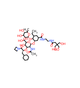 CCC1CC(C(=O)NCCNC(=O)CC(CO)(CO)CO)C[C@@H](O[C@@H]2OC(CO)[C@H](O)C(O[C@@H](CC3CCCCC3)C(=O)N3CCC3)C2NC(C)=O)C1O[C@@H]1OC(C)[C@@H](O)C(O)C1O